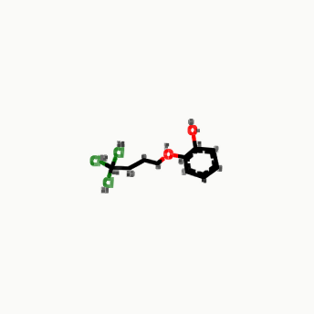 [O]c1ccccc1OCCCC(Cl)(Cl)Cl